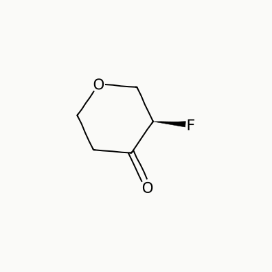 O=C1CCOC[C@H]1F